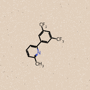 Cc1cccc(-c2cc(C(F)(F)F)cc(C(F)(F)F)c2)n1